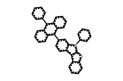 c1ccc(-c2c3ccccc3c(-c3ccc4c5c6ccccc6sc5n(-c5ccccc5)c4c3)c3ccccc23)cc1